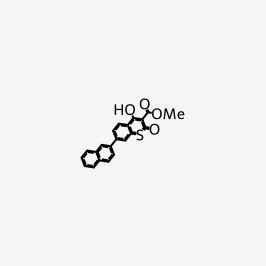 COC(=O)c1c(O)c2ccc(-c3ccc4ccccc4c3)cc2sc1=O